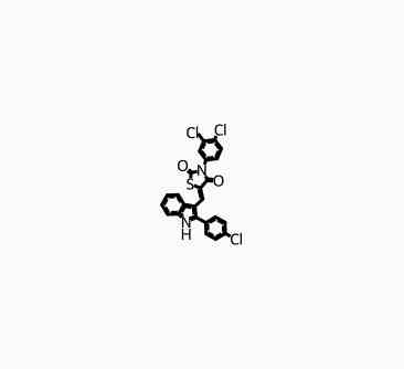 O=C1SC(=Cc2c(-c3ccc(Cl)cc3)[nH]c3ccccc23)C(=O)N1c1ccc(Cl)c(Cl)c1